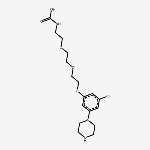 O=C(O)NCCOCCOCCOc1cc(Cl)cc(N2CCNCC2)c1